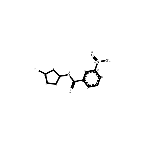 O=C(OC1CCC(F)C1)c1cccc([N+](=O)[O-])c1